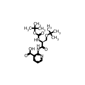 CC(C)(C)OC[C@H](NC(=O)OC(C)(C)C)C(=O)Nc1ncccc1C(=O)O